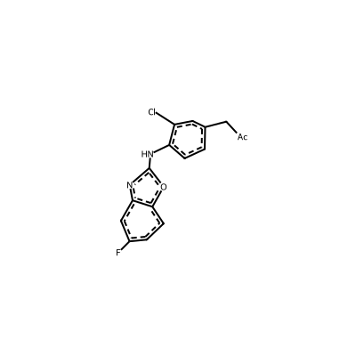 CC(=O)Cc1ccc(Nc2nc3cc(F)ccc3o2)c(Cl)c1